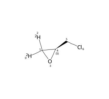 [2H]C1([2H])O[C@@H]1CCl